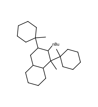 CCCCC1C(C2(C)CCCCC2)CC2CCCCC2C1(C)C1(C)CCCCC1